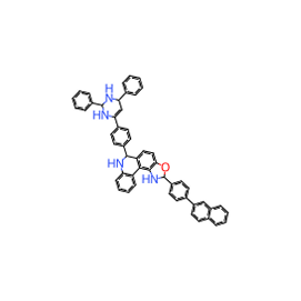 C1=C(c2ccc(C3Nc4ccccc4-c4c3ccc3c4NC(c4ccc(-c5ccc6ccccc6c5)cc4)O3)cc2)NC(c2ccccc2)NC1c1ccccc1